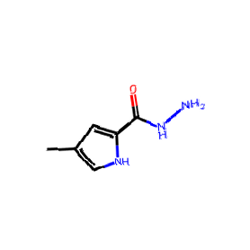 Cc1c[nH]c(C(=O)NN)c1